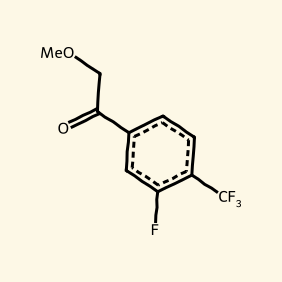 COCC(=O)c1ccc(C(F)(F)F)c(F)c1